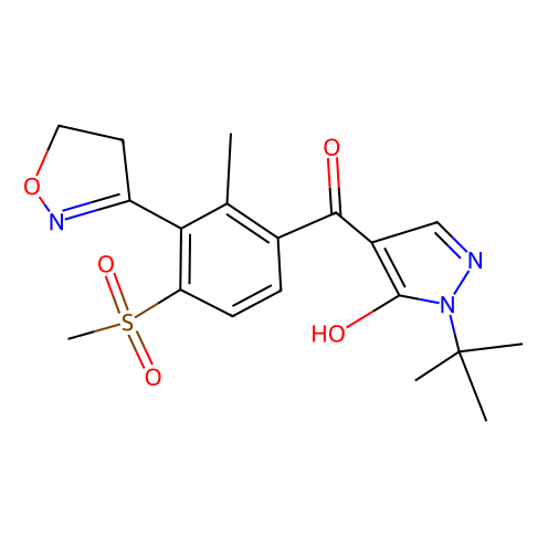 Cc1c(C(=O)c2cnn(C(C)(C)C)c2O)ccc(S(C)(=O)=O)c1C1=NOCC1